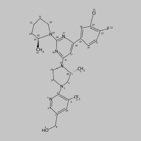 C[C@@H]1CN(c2ncc(CO)cc2C(F)(F)F)CCN1c1cc(-c2ccc(F)c(Cl)c2)nc(N2CCCC[C@@H]2C)n1